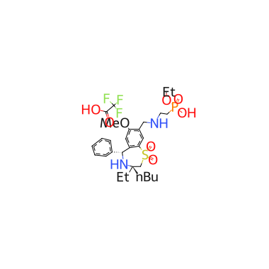 CCCC[C@]1(CC)CS(=O)(=O)c2cc(CNCCP(=O)(O)OCC)c(OC)cc2[C@@H](c2ccccc2)N1.O=C(O)C(F)(F)F